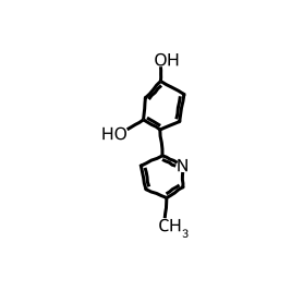 Cc1ccc(-c2ccc(O)cc2O)nc1